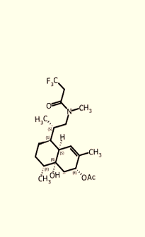 CC(=O)O[C@@H]1[C][C@@]2(O)[C@H](C)CC[C@@H]([C@H](C)CN(C)C(=O)CC(F)(F)F)[C@H]2C=C1C